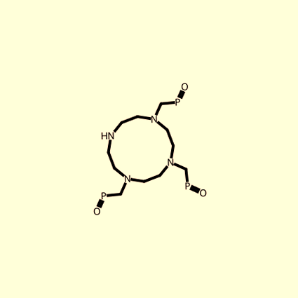 O=PCN1CCNCCN(CP=O)CCN(CP=O)CC1